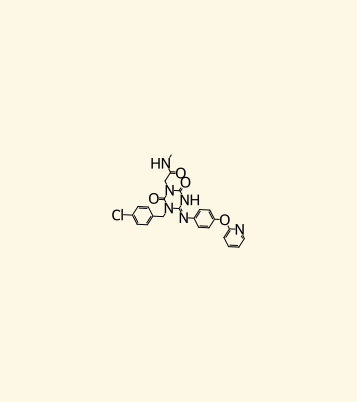 CNC(=O)Cn1c(=O)[nH]/c(=N\c2ccc(Oc3ccccn3)cc2)n(Cc2ccc(Cl)cc2)c1=O